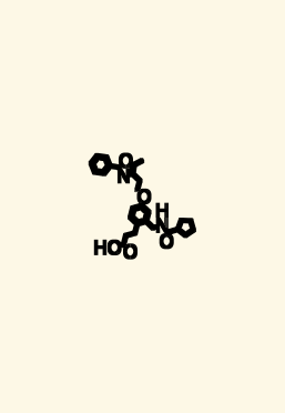 Cc1oc(-c2ccccc2)nc1CCOc1ccc(CCC(=O)O)c(CNC(=O)C2CCCC2)c1